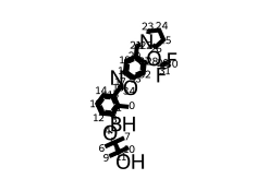 Cc1c(BOC(C)(C)C(C)(C)O)cccc1-c1nc2cc(CN3CCCC3)c(OC(F)F)cc2o1